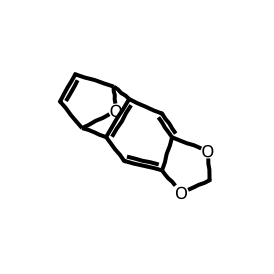 C1=CC2OC1c1cc3c(cc12)OCO3